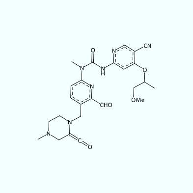 COCC(C)Oc1cc(NC(=O)N(C)c2ccc(CN3CCN(C)CC3=C=O)c(C=O)n2)ncc1C#N